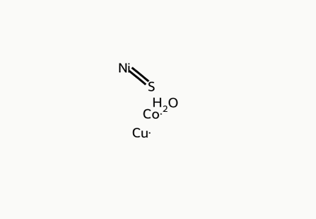 O.[Co].[Cu].[S]=[Ni]